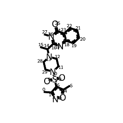 Cc1noc(C)c1S(=O)(=O)N1CCN(C(C)c2nc3ccccc3c(=O)n2C)CC1